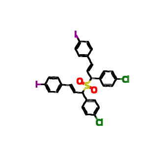 O=S(=O)(C(C=Cc1ccc(I)cc1)c1ccc(Cl)cc1)C(C=Cc1ccc(I)cc1)c1ccc(Cl)cc1